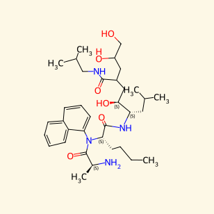 CCCC[C@@H](C(=O)N[C@@H](CC(C)C)[C@@H](O)CC(CC(O)CO)C(=O)NCC(C)C)N(C(=O)[C@H](C)N)c1cccc2ccccc12